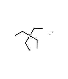 CC[B-](CC)(CC)CC.[Li+]